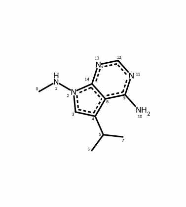 CNn1cc(C(C)C)c2c(N)ncnc21